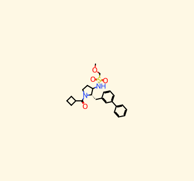 COCS(=O)(=O)NC1CCN(C(=O)C2CCC2)[C@H]1Cc1cccc(-c2ccccc2)c1